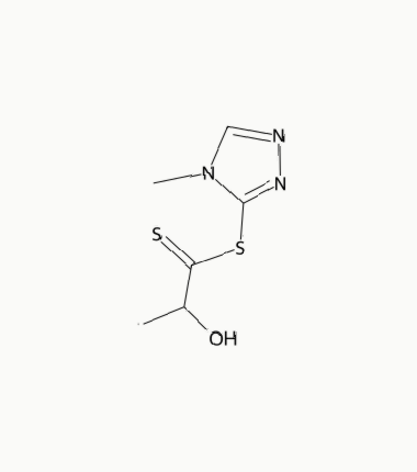 [CH2]C(O)C(=S)Sc1nncn1C